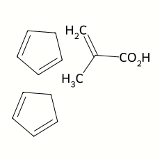 C1=CCC=C1.C1=CCC=C1.C=C(C)C(=O)O